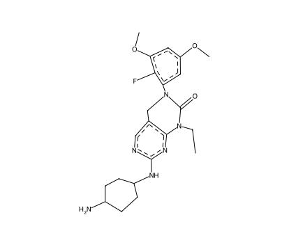 CCN1C(=O)N(c2cc(OC)cc(OC)c2F)Cc2cnc(NC3CCC(N)CC3)nc21